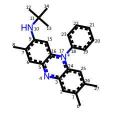 Cc1cc2nc3cc(C)c(NC(C)(C)C)cc3[n+](-c3ccccc3)c2cc1C